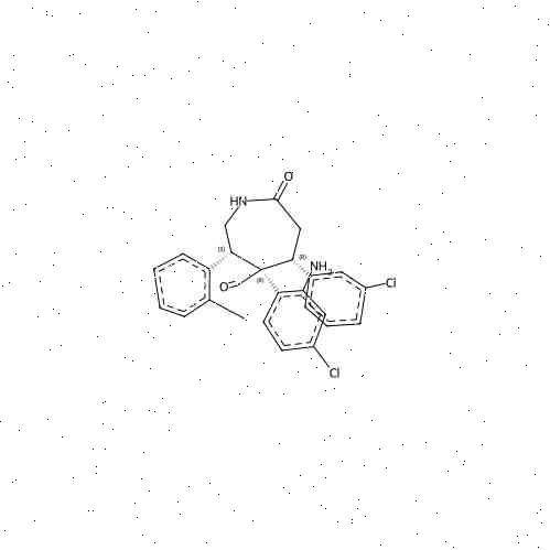 Cc1ccccc1[C@@H]1CNC(=O)C[C@H](c2cccc(Cl)c2)[C@]1(C=O)c1ccc(Cl)cc1N